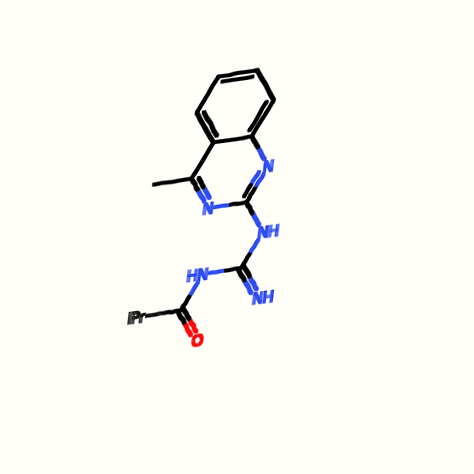 Cc1nc(NC(=N)NC(=O)C(C)C)nc2ccccc12